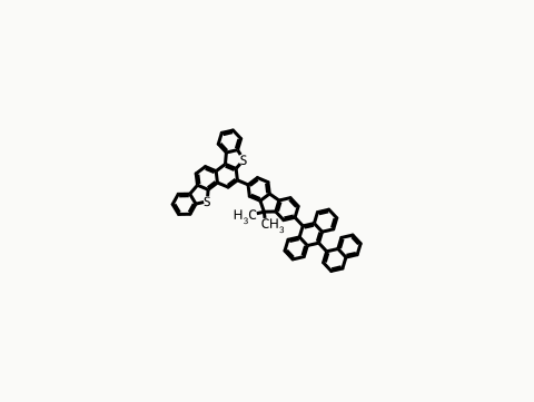 CC1(C)c2cc(-c3c4ccccc4c(-c4cccc5ccccc45)c4ccccc34)ccc2-c2ccc(-c3cc4c(ccc5c6ccccc6sc54)c4c3sc3ccccc34)cc21